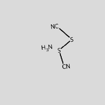 N.N#CSSC#N